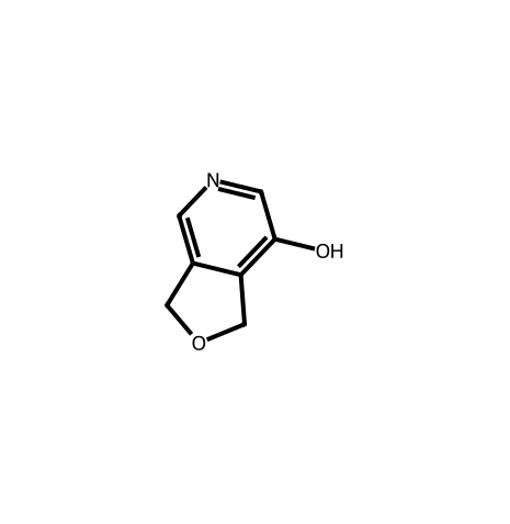 Oc1cncc2c1COC2